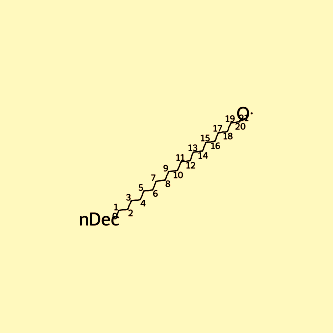 CCCCCCCCCCCCCCCCCCCCCCCCCCCCCC[O]